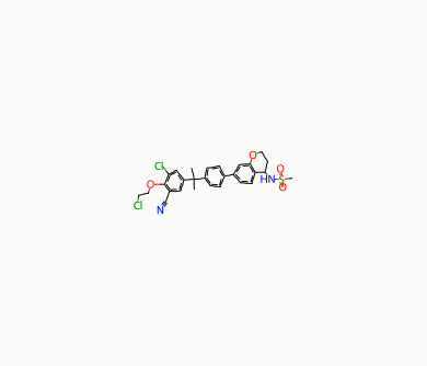 CC(C)(c1ccc(-c2ccc3c(c2)OCCC3NS(C)(=O)=O)cc1)c1cc(Cl)c(OCCCl)c(C#N)c1